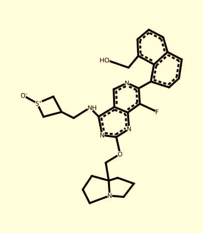 [O-][S+]1CC(CNc2nc(OCC34CCCN3CCC4)nc3c(F)c(-c4cccc5cccc(CO)c45)ncc23)C1